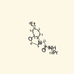 CCc1ccc2c(c1)OCCN2CC(=O)NC(C)C